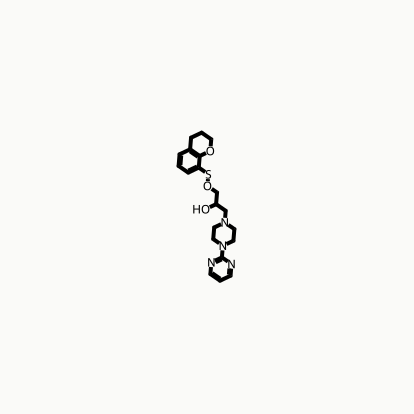 OC(COSc1cccc2c1OCCC2)CN1CCN(c2ncccn2)CC1